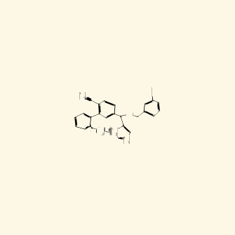 Cc1ccccc1-c1cc(C(OCc2cccc(I)c2)c2cncn2C)ccc1C#N